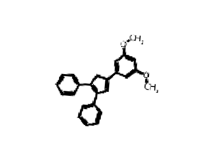 COc1cc(OC)cc(C2=CC(c3ccccc3)=C(c3ccccc3)C2)c1